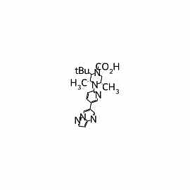 C[C@@H]1C(C(C)(C)C)N(C(=O)O)C[C@H](C)N1c1ccc(-c2cnc3ccnn3c2)cn1